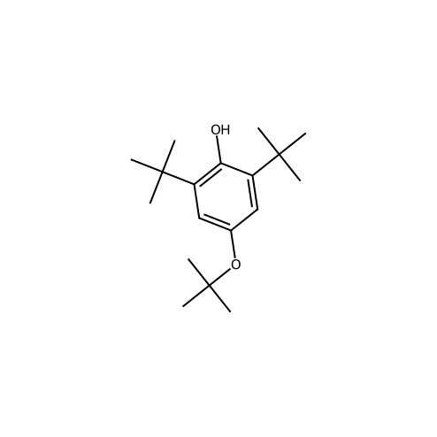 CC(C)(C)Oc1cc(C(C)(C)C)c(O)c(C(C)(C)C)c1